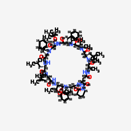 CC(C)C[C@@H]1NC(=O)[C@H](Cc2ccccc2)N(C)C(=O)[C@H](COC(C)(C)C)NC(=O)[C@H](Cc2ccccc2)N(C)C(O)[C@H](C)N(C)C(=O)[C@H](CC(C)C)N(C)C(=O)[C@@H](C)NC(=O)C[C@@H](C(=O)N2CCCCC2)NC(O)[C@H](Cc2ccccc2)N(C)C(=O)[C@H]([C@@H](C)O)NC(=O)[C@H](CC(C)C)N(C)C1=O